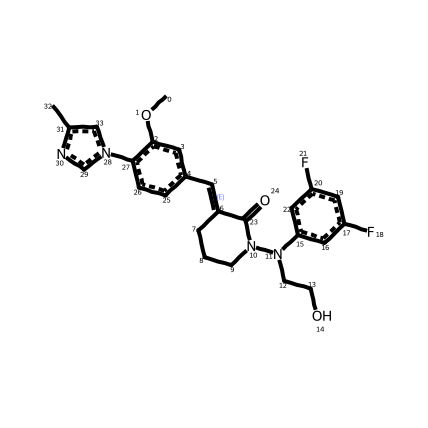 COc1cc(/C=C2\CCCN(N(CCO)c3cc(F)cc(F)c3)C2=O)ccc1-n1cnc(C)c1